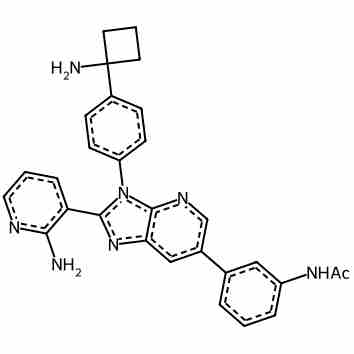 CC(=O)Nc1cccc(-c2cnc3c(c2)nc(-c2cccnc2N)n3-c2ccc(C3(N)CCC3)cc2)c1